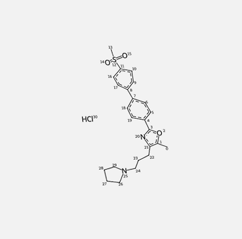 Cc1oc(-c2ccc(-c3ccc(S(C)(=O)=O)cc3)cc2)nc1CCCN1CCCC1.Cl